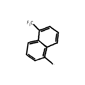 [CH2]c1cccc2c(C(F)(F)F)cccc12